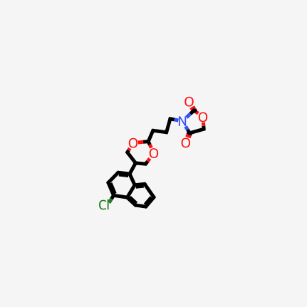 O=C1COC(=O)N1CCCC1OCC(c2ccc(Cl)c3ccccc23)CO1